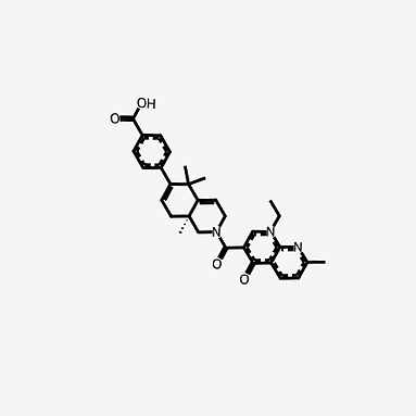 CCn1cc(C(=O)N2CC=C3C(C)(C)C(c4ccc(C(=O)O)cc4)=CC[C@]3(C)C2)c(=O)c2ccc(C)nc21